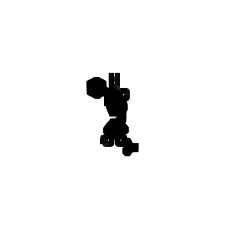 COc1ccc(CN2CCC3(CC2)N=C(c2ccccc2)NC3=O)cc1OCC(C)C